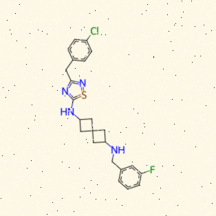 Fc1cccc(CNC2CC3(C2)CC(Nc2nc(Cc4ccc(Cl)cc4)ns2)C3)c1